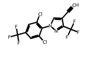 C#Cc1cn(-c2c(Cl)cc(C(F)(F)F)cc2Cl)nc1C(F)(F)F